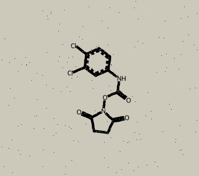 O=C(Nc1ccc(Cl)c(Cl)c1)ON1C(=O)CCC1=O